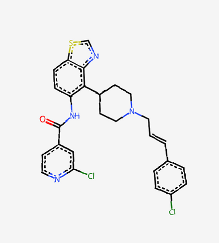 O=C(Nc1ccc2scnc2c1C1CCN(CC=Cc2ccc(Cl)cc2)CC1)c1ccnc(Cl)c1